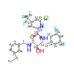 CCc1cccc(CNC[C@H](O)[C@@H](Cc2cc(F)cc(F)c2)NC(=O)c2cc(C(F)(F)F)cc(Cl)n2)c1